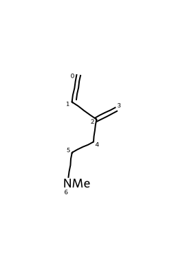 C=CC(=C)CCNC